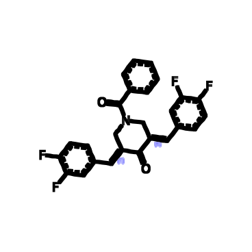 O=C1/C(=C/c2ccc(F)c(F)c2)CN(C(=O)c2ccccc2)C/C1=C\c1ccc(F)c(F)c1